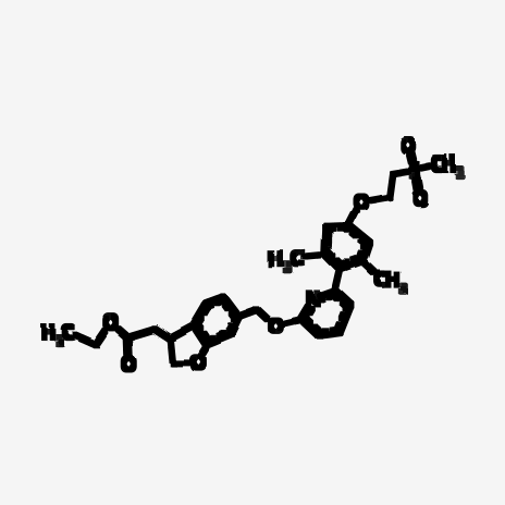 CCOC(=O)CC1COc2cc(COc3cccc(-c4c(C)cc(OCCS(C)(=O)=O)cc4C)n3)ccc21